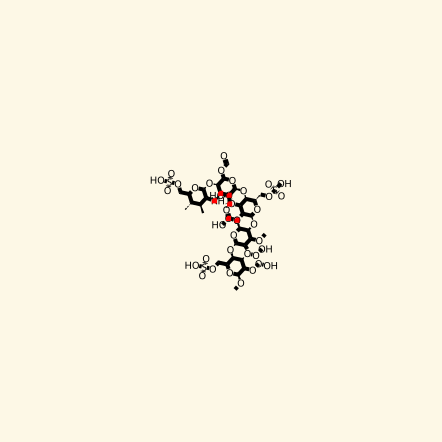 COC1C(C)[C@H](O[C@@H]2C(COS(=O)(=O)O)O[C@H](OC)C(OOO)[C@H]2OOO)O[C@@H](OC=O)[C@H]1O[C@H]1O[C@@H](COS(=O)(=O)O)[C@@H](O[C@@H]2OC(OC=O)[C@@H](O[C@H]3OC(COS(=O)(=O)O)[C@@H](C)[C@H](C)C3N)[C@H](C)C2C)C(OOO)C1OOO